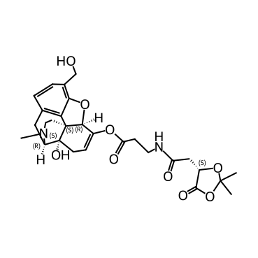 CN1CC[C@]23c4c5ccc(CO)c4O[C@H]2C(OC(=O)CCNC(=O)C[C@@H]2OC(C)(C)OC2=O)=CC[C@@]3(O)[C@H]1C5